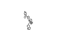 CN1CCN(C(=O)c2ccc(-c3ccc4nnc(Cc5ccc6ncccc6c5)n4n3)s2)CC1